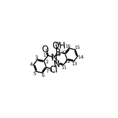 O=C(c1ccccc1Cl)N1N=Cc2ccccc2B1O